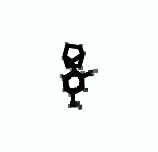 Nc1cnc(N2C3CCC2CC3)c(Cl)c1